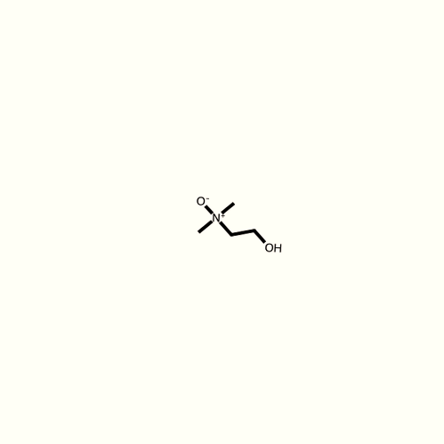 C[N+](C)([O-])CCO